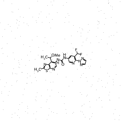 COC(C)c1c(NC(=O)Nc2cnc(-n3nccn3)c(C(F)F)c2)cnc2sc(C)nc12